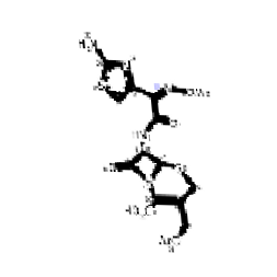 CO/N=C(\C(=O)N[C@H]1C(=O)N2C(C(=O)O)=C(COC(C)=O)CSC12)c1csc(N)n1